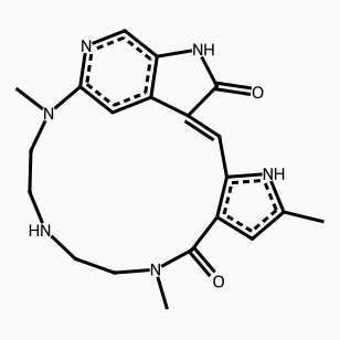 Cc1cc2c([nH]1)/C=C1\C(=O)Nc3cnc(cc31)N(C)CCNCCN(C)C2=O